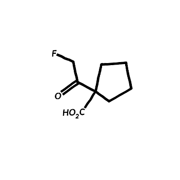 O=C(O)C1(C(=O)CF)CCCC1